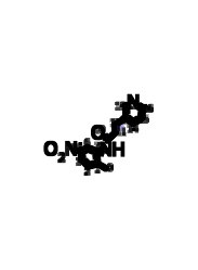 Cc1ccc([N+](=O)[O-])cc1NC(=O)/C=C/c1cccnc1